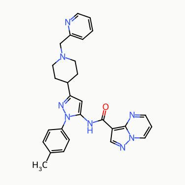 Cc1ccc(-n2nc(C3CCN(Cc4ccccn4)CC3)cc2NC(=O)c2cnn3cccnc23)cc1